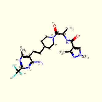 Cc1nn(C)cc1C(=O)NC(C)C(=O)N1CCC(CCc2c(C)nc(C(F)(F)F)nc2N)CC1